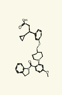 COc1ccc(C(=O)N2CCc3ccccc32)c(N2CCC(COc3cccc(C(CC(=O)O)C4CC4)c3)CC2)c1